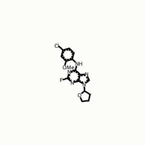 COc1cc(Cl)ccc1Nc1nc(F)nc2c1ncn2C1CCCO1